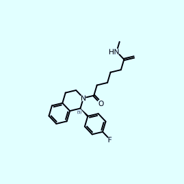 C=C(CCCCC(=O)N1CCc2ccccc2[C@@H]1c1ccc(F)cc1)NC